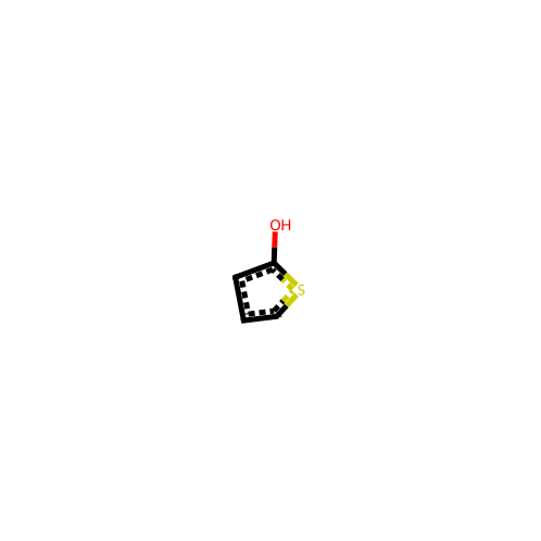 Oc1cc[c]s1